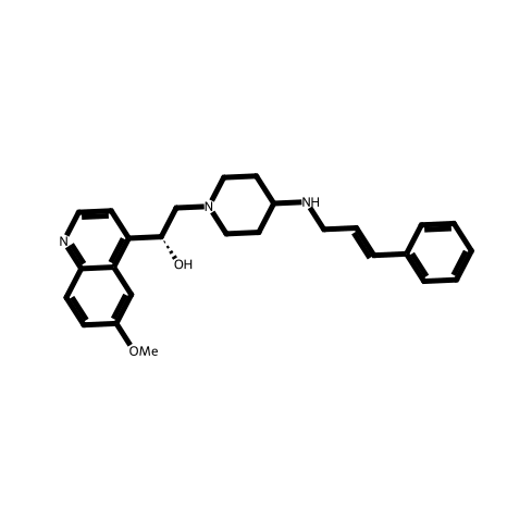 COc1ccc2nccc([C@@H](O)CN3CCC(NC/C=C/c4ccccc4)CC3)c2c1